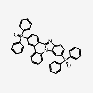 O=P(c1ccccc1)(c1ccccc1)c1ccc2c(c1)c1ccccc1n1c3cc(P(=O)(c4ccccc4)c4ccccc4)ccc3nc21